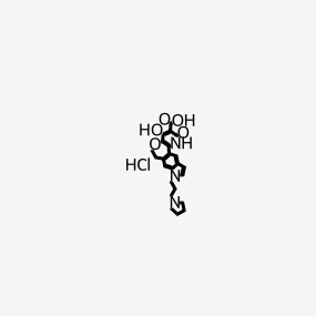 Cl.O=C(O)c1c(O)c2c([nH]c1=O)-c1cc3ccn(CCCN4CCCC4)c3cc1CCO2